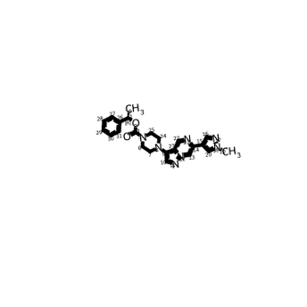 C[C@@H](OC(=O)N1CCN(c2cnn3cc(-c4cnn(C)c4)ncc23)CC1)c1ccccc1